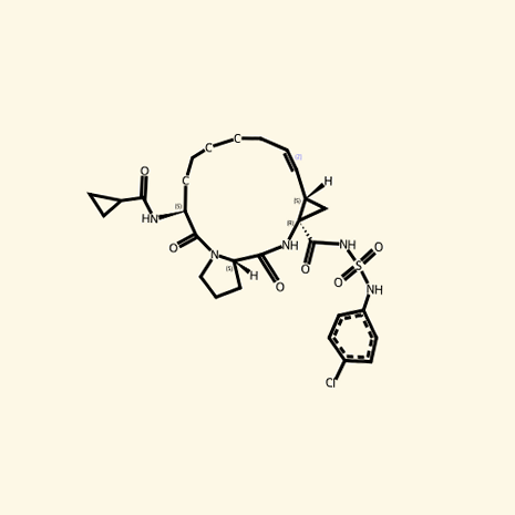 O=C(N[C@H]1CCCCC/C=C\[C@@H]2C[C@@]2(C(=O)NS(=O)(=O)Nc2ccc(Cl)cc2)NC(=O)[C@@H]2CCCN2C1=O)C1CC1